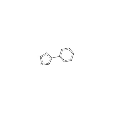 [c]1ncc(-c2ccccc2)s1